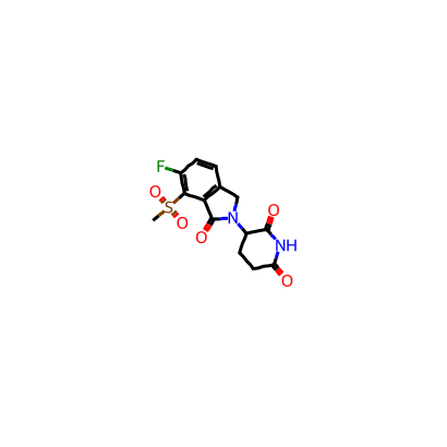 CS(=O)(=O)c1c(F)ccc2c1C(=O)N(C1CCC(=O)NC1=O)C2